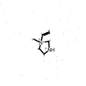 C=C[N+]1(C)CCNC1